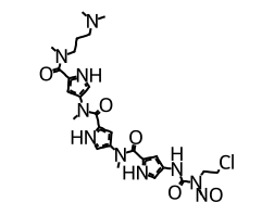 CN(C)CCCN(C)C(=O)c1cc(N(C)C(=O)c2cc(N(C)C(=O)c3cc(NC(=O)N(CCCl)N=O)c[nH]3)c[nH]2)c[nH]1